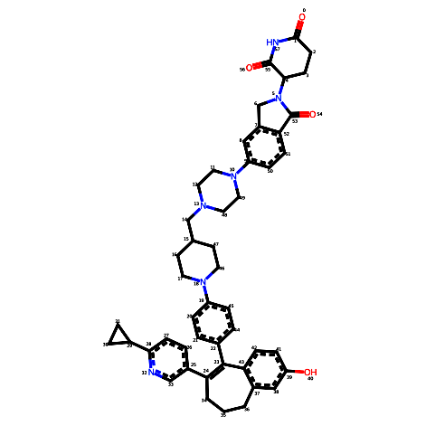 O=C1CCC(N2Cc3cc(N4CCN(CC5CCN(c6ccc(C7=C(c8ccc(C9CC9)nc8)CCCc8cc(O)ccc87)cc6)CC5)CC4)ccc3C2=O)C(=O)N1